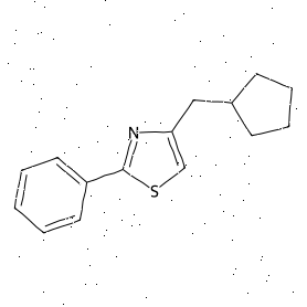 c1ccc(-c2nc(CC3CCCC3)cs2)cc1